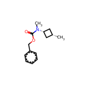 CN(C(=O)OCc1ccccc1)[C@H]1C[C@@H](C)C1